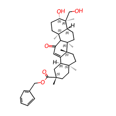 C[C@]1(C(=O)OCc2ccccc2)CC[C@]2(C)CC[C@]3(C)C(=CC(=O)C4[C@@]5(C)CC[C@H](O)[C@@](C)(CO)[C@@H]5CC[C@]43C)[C@@H]2C1